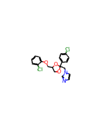 Clc1ccc(C2(Cn3ccnc3)OCC(COc3ccccc3Cl)O2)cc1